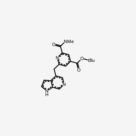 CNC(=O)c1cc(C(=O)OC(C)(C)C)cc(Cc2cncc3[nH]ccc23)n1